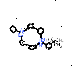 CC(C)(C)c1cccc(-c2nc3nc(n2)c2cccc(c2)c2cccc(c2)c2nc(-c4ccccc4)nc(n2)c2cccc(c2)c2cccc3c2)c1